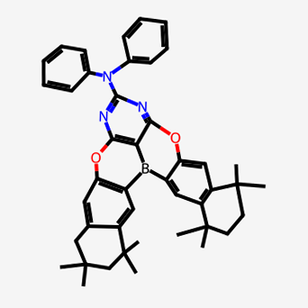 CC1(C)Cc2cc3c(cc2C(C)(C)C1)B1c2cc4c(cc2Oc2nc(N(c5ccccc5)c5ccccc5)nc(c21)O3)C(C)(C)CCC4(C)C